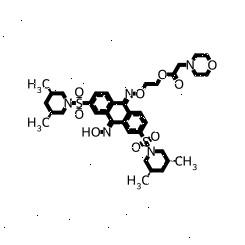 C[C@@H]1C[C@H](C)CN(S(=O)(=O)c2ccc3c(c2)C(=NO)c2cc(S(=O)(=O)N4C[C@H](C)C[C@H](C)C4)ccc2C3=NOCCOC(=O)CN2CCOCC2)C1